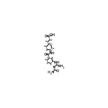 NC(=O)N=C(N)Nc1cccc(C(=O)Nc2ccc(C=CC(=O)O)cc2)c1